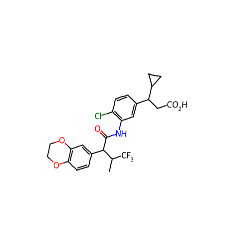 CC(C(C(=O)Nc1cc(C(CC(=O)O)C2CC2)ccc1Cl)c1ccc2c(c1)OCCO2)C(F)(F)F